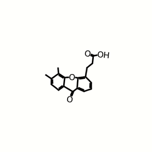 Cc1ccc2c(=O)c3cccc(CCC(=O)O)c3oc2c1C